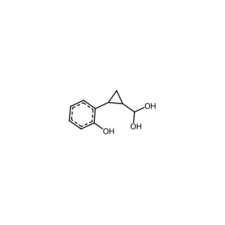 Oc1ccccc1C1CC1C(O)O